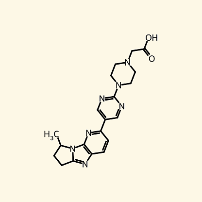 CC1CCc2nc3ccc(-c4cnc(N5CCN(CC(=O)O)CC5)nc4)nc3n21